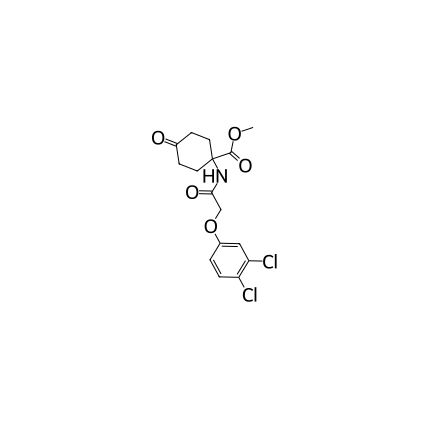 COC(=O)C1(NC(=O)COc2ccc(Cl)c(Cl)c2)CCC(=O)CC1